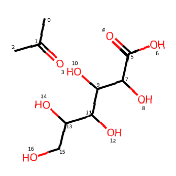 CC(C)=O.O=C(O)C(O)C(O)C(O)C(O)CO